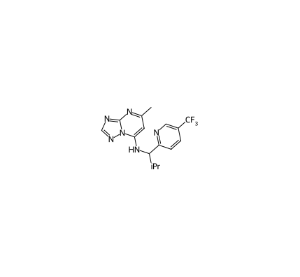 Cc1cc(NC(c2ccc(C(F)(F)F)cn2)C(C)C)n2ncnc2n1